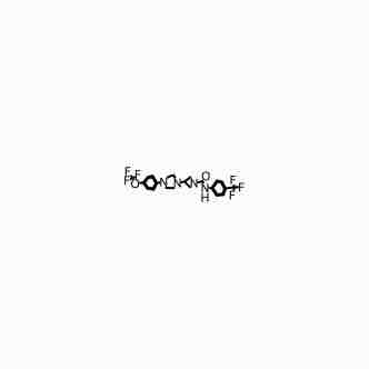 O=C(Nc1ccc(C(F)(F)F)cc1)N1CC(N2CCN(c3ccc(OC(F)(F)F)cc3)CC2)C1